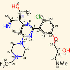 CC/C(O)=C(/C(C)=N)c1nc(-c2cc(OC[C@H](O)CNC)ccc2Cl)nc(N2CCN(CC(F)(F)F)CC2)c1C